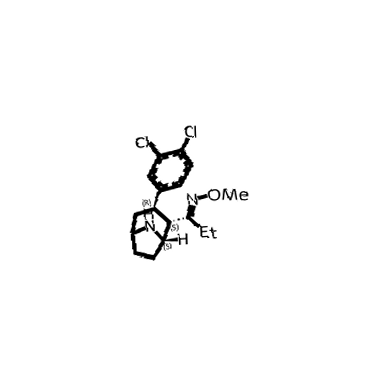 CCC(=NOC)[C@@H]1[C@@H]2CCC(C[C@H]1c1ccc(Cl)c(Cl)c1)N2